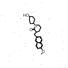 COc1ccc2cc(CC3CCCN(C4CCC(O)CC4)C3=O)ccc2c1